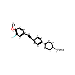 CCCCC[C@H]1CC[C@H](c2ccc(C#Cc3ccc(OCC)c(F)c3)cc2)CC1